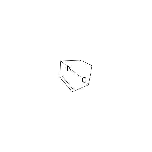 C1=CC2CCC1C[N]2